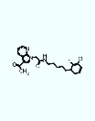 CC(=O)c1cn(CC(=O)NCCCCCC2CC=CC(Cl)=C2F)c2ncccc12